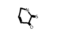 O=C1C=CC[N]C1=S